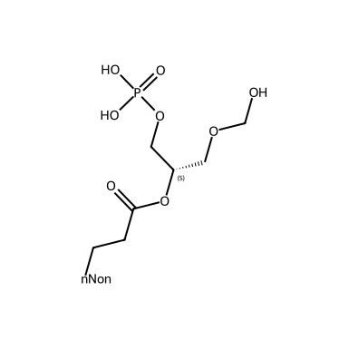 CCCCCCCCCCCC(=O)O[C@@H](COCO)COP(=O)(O)O